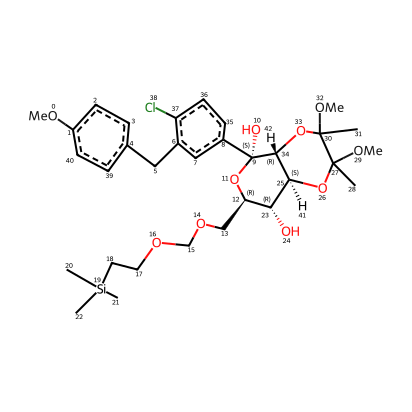 COc1ccc(Cc2cc([C@]3(O)O[C@H](COCOCC[Si](C)(C)C)[C@@H](O)[C@@H]4OC(C)(OC)C(C)(OC)O[C@H]43)ccc2Cl)cc1